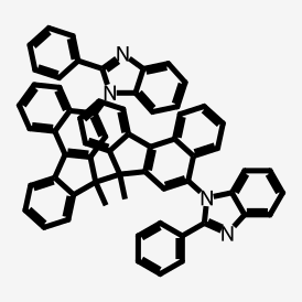 CC1(C2(C)c3ccccc3-c3c2cc(-n2c(-c4ccccc4)nc4ccccc42)c2ccccc32)c2ccccc2-c2c1cc(-n1c(-c3ccccc3)nc3ccccc31)c1ccccc21